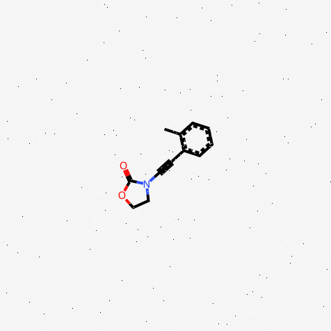 Cc1ccccc1C#CN1CCOC1=O